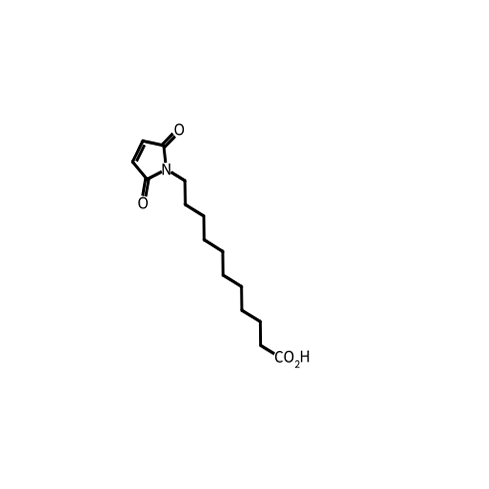 O=C(O)CCCCCCCCCCN1C(=O)C=CC1=O